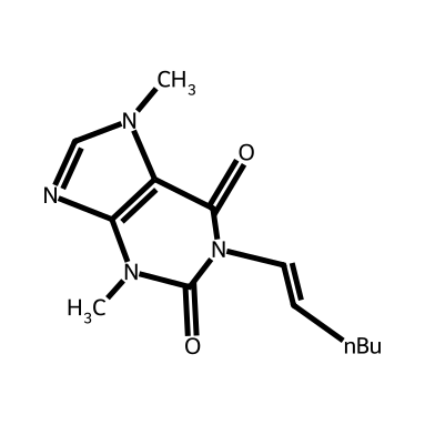 CCCCC=Cn1c(=O)c2c(ncn2C)n(C)c1=O